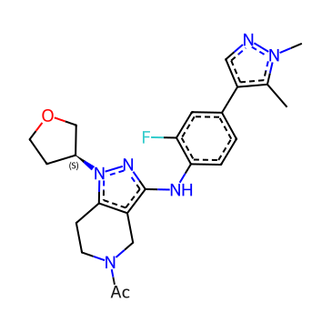 CC(=O)N1CCc2c(c(Nc3ccc(-c4cnn(C)c4C)cc3F)nn2[C@H]2CCOC2)C1